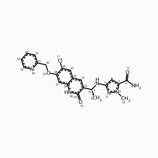 C[C@H](Nc1cc(C(N)=O)n(C)n1)c1cc2cc(Cl)c(OCc3ccccn3)cc2[nH]c1=O